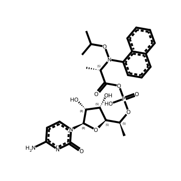 CC(C)ON(c1cccc2ccccc12)[C@@H](C)C(=O)OP(=O)(O)O[C@@H](C)[C@H]1O[C@@H](n2ccc(N)nc2=O)[C@H](O)[C@@H]1O